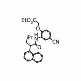 CCOC(=O)COc1ccc(C#N)cc1NC(=O)C(CC(C)C)c1cccc2ccccc12